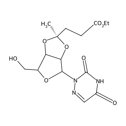 CCOC(=O)CC[C@]1(C)OC2C(CO)OC(n3ncc(=O)[nH]c3=O)C2O1